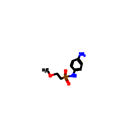 COCCS(=O)(=O)Nc1ccc(N)cc1